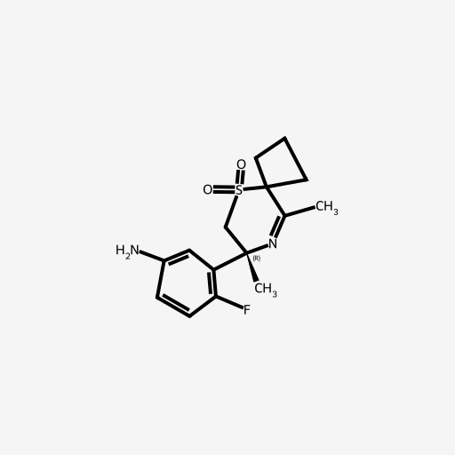 CC1=N[C@](C)(c2cc(N)ccc2F)CS(=O)(=O)C12CCC2